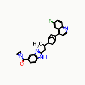 CC(Cc1nc2cc(C(=O)N3CC3)ccc2[nH]1)C1CC2CC1CC2c1ccnc2ccc(F)cc12